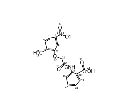 Cc1ccc([N+](=O)[O-])cc1OCC(=O)Nc1ccccc1C(=O)O